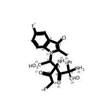 Cc1c(Cl)c2cc(F)ccc2n1C(C(=O)O)C(N)(C(=O)CF)C(=O)[C@](N)(C=O)C(C)C